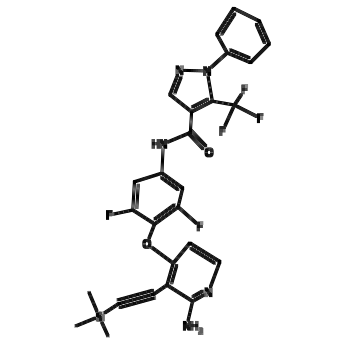 C[Si](C)(C)C#Cc1c(Oc2c(F)cc(NC(=O)c3cnn(-c4ccccc4)c3C(F)(F)F)cc2F)ccnc1N